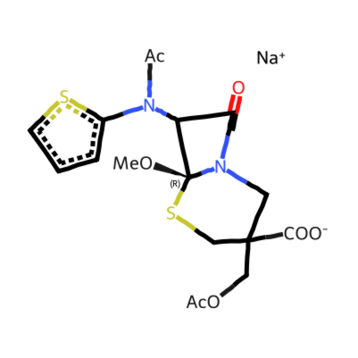 CO[C@]12SCC(COC(C)=O)(C(=O)[O-])CN1C(=O)C2N(C(C)=O)c1cccs1.[Na+]